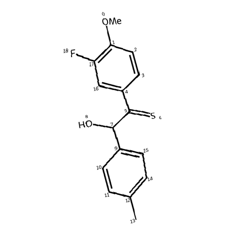 COc1ccc(C(=S)C(O)c2ccc(C)cc2)cc1F